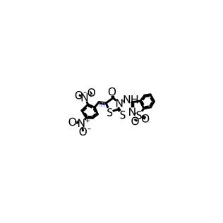 O=C1/C(=C/c2ccc([N+](=O)[O-])cc2[N+](=O)[O-])SC(=S)N1NC1=NS(=O)(=O)c2ccccc21